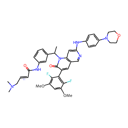 COc1cc(OC)c(F)c(-c2cc3cnc(Nc4ccc(N5CCOCC5)cc4)cc3n(C(C)c3cccc(NC(=O)/C=C/CN(C)C)c3)c2=O)c1F